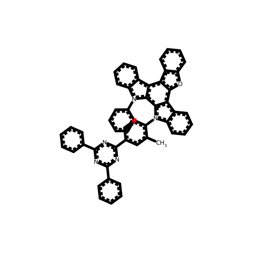 Cc1cc(-c2nc(-c3ccccc3)nc(-c3ccccc3)n2)ccc1-n1c2ccccc2c2c3oc4ccccc4c3c3c4ccccc4n(-c4ccccc4)c3c21